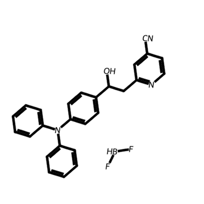 FBF.N#Cc1ccnc(CC(O)c2ccc(N(c3ccccc3)c3ccccc3)cc2)c1